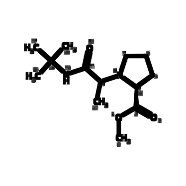 COC(=O)[C@@H]1CCCN1C(C)C(=O)NC(C)(C)C